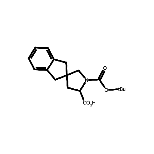 CC(C)(C)OC(=O)N1CC2(Cc3ccccc3C2)CC1C(=O)O